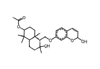 CC(=O)OC1CCC2(C)C(COc3ccc4c(c3)OC(O)C=C4)C(C)(O)CCC2C1(C)C